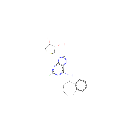 O[C@@H]1[C@H](O)CS[C@H]1n1cnc2c(NC3CCCCc4ccccc43)nc(Cl)nc21